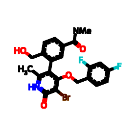 CNC(=O)c1ccc(CO)c(-c2c(C)[nH]c(=O)c(Br)c2OCc2ccc(F)cc2F)c1